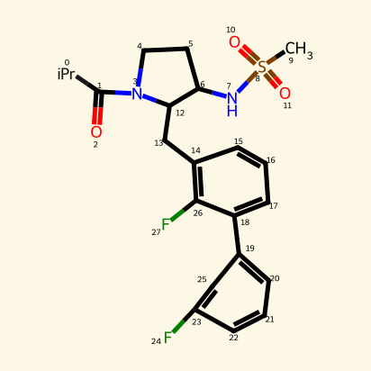 CC(C)C(=O)N1CCC(NS(C)(=O)=O)C1Cc1cccc(-c2cccc(F)c2)c1F